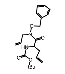 C=CCC(NC(=O)OC(C)(C)C)C(=O)N(CC=C)OCc1ccccc1